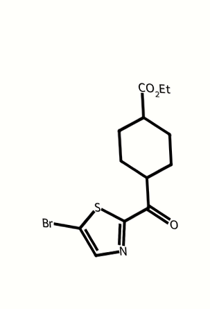 CCOC(=O)C1CCC(C(=O)c2ncc(Br)s2)CC1